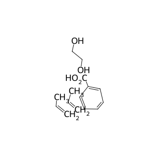 C=CC.C=CC.O=C(O)c1ccccc1.OCCO